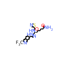 NC(=O)CCCCC[C@H](NC(=O)c1cncs1)c1ncc(-c2ccc3cc(C(F)(F)F)ncc3c2)[nH]1